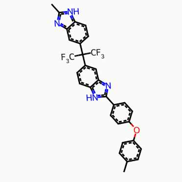 Cc1ccc(Oc2ccc(-c3nc4cc(C(c5ccc6[nH]c(C)nc6c5)(C(F)(F)F)C(F)(F)F)ccc4[nH]3)cc2)cc1